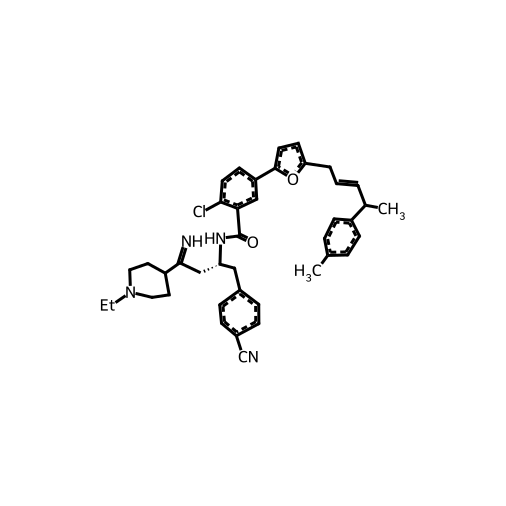 CCN1CCC(C(=N)C[C@@H](Cc2ccc(C#N)cc2)NC(=O)c2cc(-c3ccc(C/C=C/C(C)c4ccc(C)cc4)o3)ccc2Cl)CC1